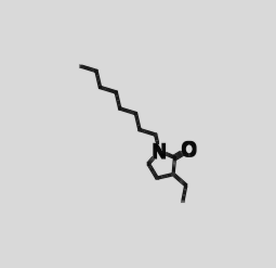 CCCCCCCCN1CCC(CC)C1=O